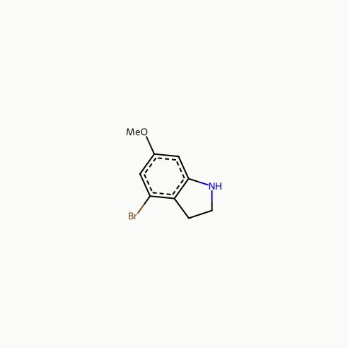 COc1cc(Br)c2c(c1)NCC2